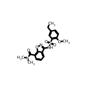 CCc1ccc(OC)c(S(=O)(=O)Nc2noc3c(C(=O)N(C)C)cccc23)c1